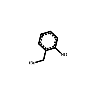 CC(C)(C)[CH]c1ccccc1N=O